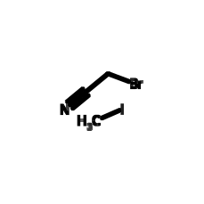 CI.N#CCBr